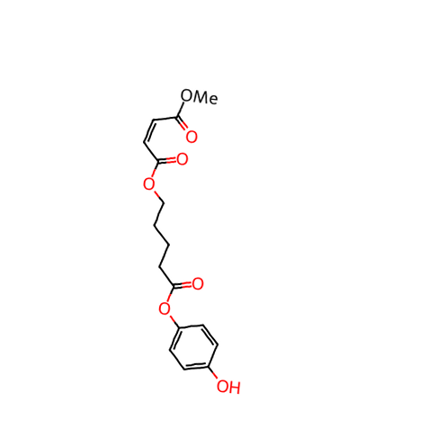 COC(=O)/C=C\C(=O)OCCCCC(=O)Oc1ccc(O)cc1